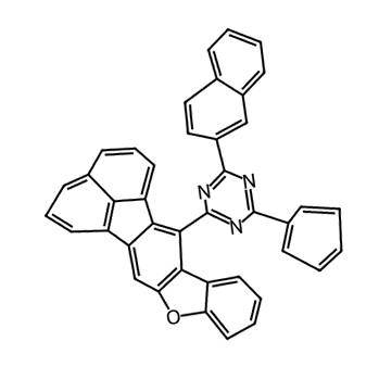 c1ccc(-c2nc(-c3ccc4ccccc4c3)nc(-c3c4c(cc5oc6ccccc6c35)-c3cccc5cccc-4c35)n2)cc1